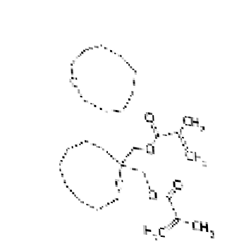 C1CCCCCCCCC1.C=C(C)C(=O)OCC1(COC(=O)C(=C)C)CCCCCCCCC1